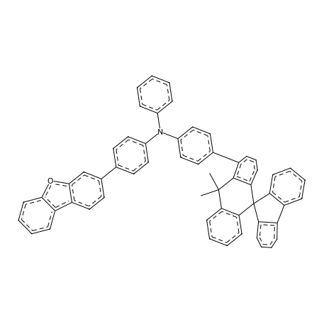 CC1(C)c2ccccc2C2(c3ccccc3-c3ccccc32)c2cccc(-c3ccc(N(c4ccccc4)c4ccc(-c5ccc6c(c5)oc5ccccc56)cc4)cc3)c21